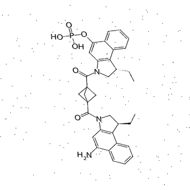 CC[C@@H]1CN(C(=O)C23CC(C(=O)N4C[C@@H](CC)c5c4cc(OP(=O)(O)O)c4ccccc54)(C2)C3)c2cc(N)c3ccccc3c21